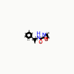 O=C(N[C@@H]1C[C@H]1c1ccccc1)c1ncco1